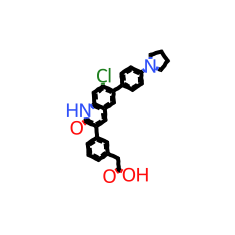 O=C(O)Cc1cccc(-c2cc3cc(-c4ccc(N5CCCC5)cc4)c(Cl)cc3[nH]c2=O)c1